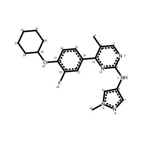 Cc1cnc(Nc2cnn(C)c2)nc1-c1ccc(OC2CCCCC2)c(F)c1